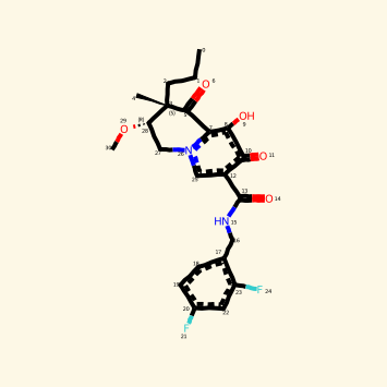 CCC[C@]1(C)C(=O)c2c(O)c(=O)c(C(=O)NCc3ccc(F)cc3F)cn2C[C@@H]1OC